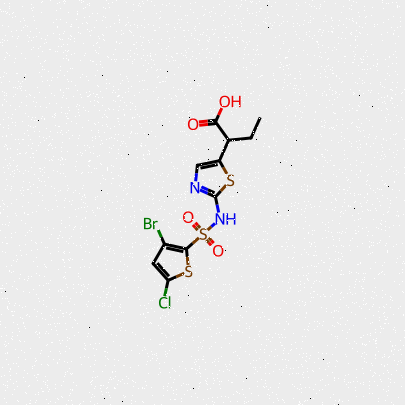 CCC(C(=O)O)c1cnc(NS(=O)(=O)c2sc(Cl)cc2Br)s1